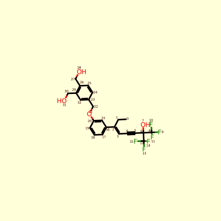 CC/C(=C\C#CC(O)(C(F)(F)F)C(F)(F)F)c1cccc(OCc2ccc(CO)c(CO)c2)c1